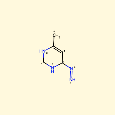 CC1=CC(N=N)NCN1